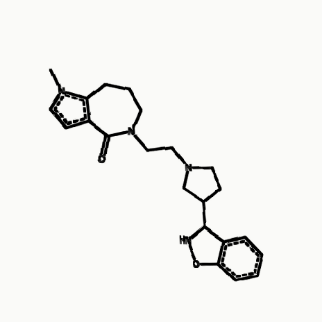 Cn1ccc2c1CCCN(CCN1CCC(C3NOc4ccccc43)C1)C2=O